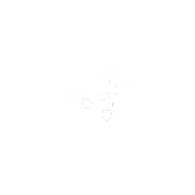 CN1C(=O)c2c(nn(Cc3ccc(C4CCCN4C)cc3)c2Nc2ccc(F)cc2)N2CC(C)(C)N=C12